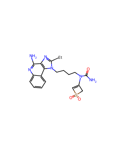 CCc1nc2c(N)nc3ccccc3c2n1CCCCN(C(N)=O)C1=CS(=O)(=O)C1